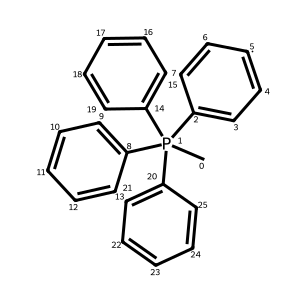 CP(c1cc[c]cc1)(c1ccccc1)(c1ccccc1)c1ccccc1